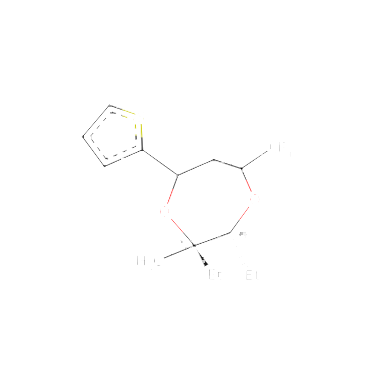 CC[C@H]1OC(C(F)(F)F)CC(c2cccs2)O[C@]1(C)CC